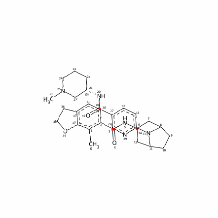 Cc1c(C(=O)NC2CC3CCC(C2)N3c2ccc(C(=O)N[C@H]3CCCN(C)C3)cn2)ccc2c1OCC2